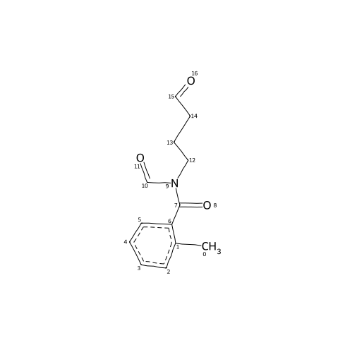 Cc1ccccc1C(=O)N(C=O)CCCC=O